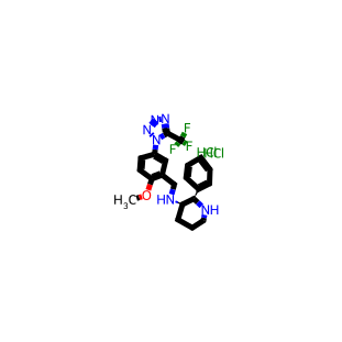 COc1ccc(-n2nnnc2C(F)(F)F)cc1CN[C@H]1CCCN[C@H]1c1ccccc1.Cl.Cl